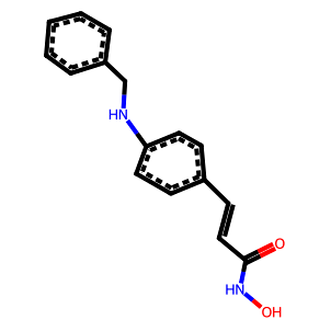 O=C(/C=C/c1ccc(NCc2ccccc2)cc1)NO